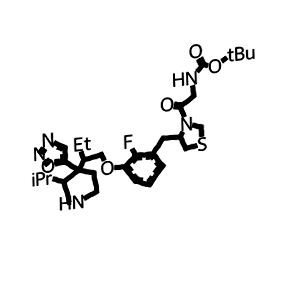 CCC(COc1cccc(CC2CSCN2C(=O)CNC(=O)OC(C)(C)C)c1F)C1(c2cnno2)CCNCC1C(C)C